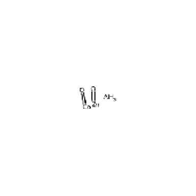 [AlH3].[O]=[Co].[O]=[Zn]